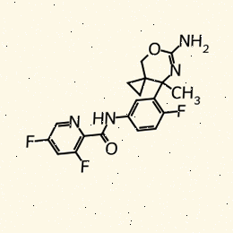 CC1(c2cc(NC(=O)c3ncc(F)cc3F)ccc2F)N=C(N)OCC12CC2